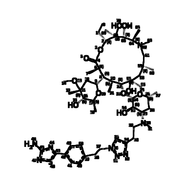 CC[C@H]1OC(=O)[C@H](C)[C@@H](C2C[C@@](C)(OC)[C@@H](O)[C@H](C)O2)[C@H](C)[C@@H](O[C@@H]2O[C@H](C)C[C@H](N(C)CCc3cn(CCc4ccc(-c5nc(N)ns5)cc4)nn3)[C@H]2O)[C@](C)(O)C[C@@H](C)CN(C)[C@H](C)[C@@H](O)[C@]1(C)O